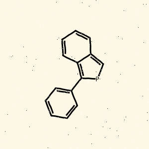 C1=c2ccccc2=C(c2ccccc2)[P]1